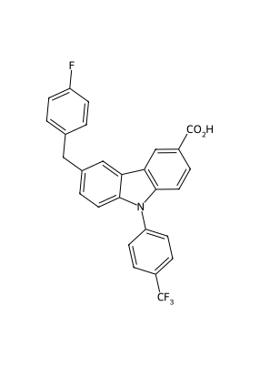 O=C(O)c1ccc2c(c1)c1cc(Cc3ccc(F)cc3)ccc1n2-c1ccc(C(F)(F)F)cc1